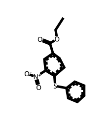 CCOC(=O)c1ccc(Sc2ccccc2)c([N+](=O)[O-])c1